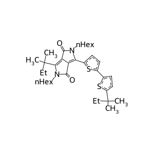 CCCCCCN1C(=O)C2=C(C(C)(C)CC)N(CCCCCC)C(=O)C2=C1c1ccc(-c2ccc(C(C)(C)CC)s2)s1